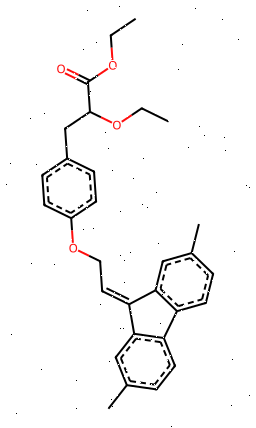 CCOC(=O)C(Cc1ccc(OCC=C2c3cc(C)ccc3-c3ccc(C)cc32)cc1)OCC